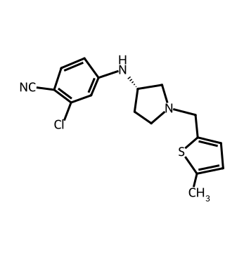 Cc1ccc(CN2CC[C@H](Nc3ccc(C#N)c(Cl)c3)C2)s1